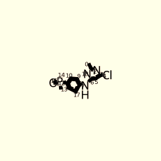 Cc1nc(Cl)cc(Nc2ccc(P(C)(C)=O)cc2)n1